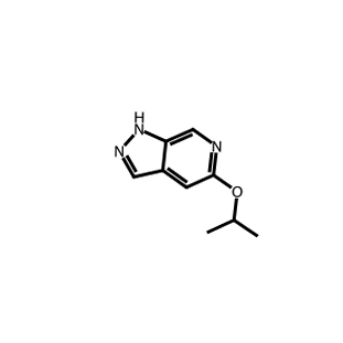 CC(C)Oc1cc2cn[nH]c2cn1